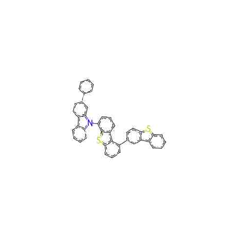 c1ccc(-c2ccc3c4ccccc4n(-c4cccc5c4sc4cccc(-c6ccc7sc8ccccc8c7c6)c45)c3c2)cc1